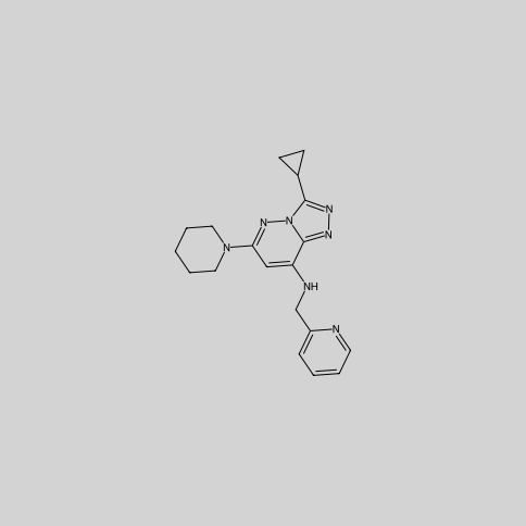 c1ccc(CNc2cc(N3CCCCC3)nn3c(C4CC4)nnc23)nc1